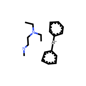 CCN(CC)CC[N-]C.c1cc[c]([Al+][c]2ccccc2)cc1